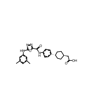 Cc1cc(C)cc(Nc2nnc(C(=O)Nc3ccc([C@H]4CC[C@H](CC(=O)O)CC4)cc3)o2)c1